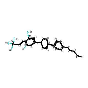 CCCCCc1ccc(-c2ccc(-c3cc(F)c(/C=C/C(F)(F)F)c(F)c3)cc2)cc1